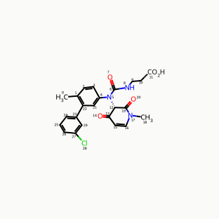 Cc1ccc(N(C(=O)NCCC(=O)O)[C@H]2C(=O)C=CN(C)C2=O)cc1-c1cccc(Cl)c1